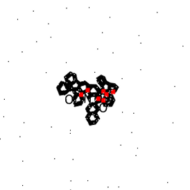 c1ccc2c(c1)Oc1ccc(N(c3cccc4c3Oc3ccccc3C43c4ccccc4-c4ccccc43)c3cc4ccccc4c4oc5ccccc5c34)cc1C21c2ccccc2-c2ccccc21